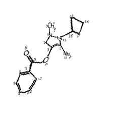 CN1CC(OC(=O)c2ccccc2)=C(N)N1C1CCC1